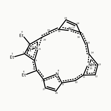 CCc1c(CC)c2c(CC)c3nc(cc4ccc(cc5nc(cc1n2CC)C=C5)[nH]4)C=C3